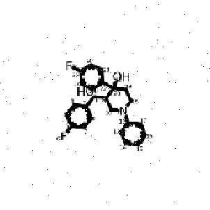 OC(c1ccc(F)cc1)C1CN(c2ccccc2)CCC1(O)c1ccc(F)cc1